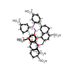 O=S(=O)(O)c1cccc(P(Cc2cc(S(=O)(=O)O)c3ccc(S(=O)(=O)O)cc3c2-c2c(CP(c3cccc(S(=O)(=O)O)c3)c3cccc(S(=O)(=O)O)c3)cc(S(=O)(=O)O)c3ccc(S(=O)(=O)O)cc23)c2cccc(S(=O)(=O)O)c2)c1